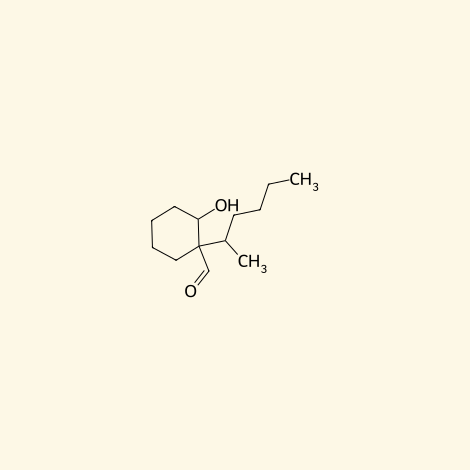 CCCCC(C)C1(C=O)CCCCC1O